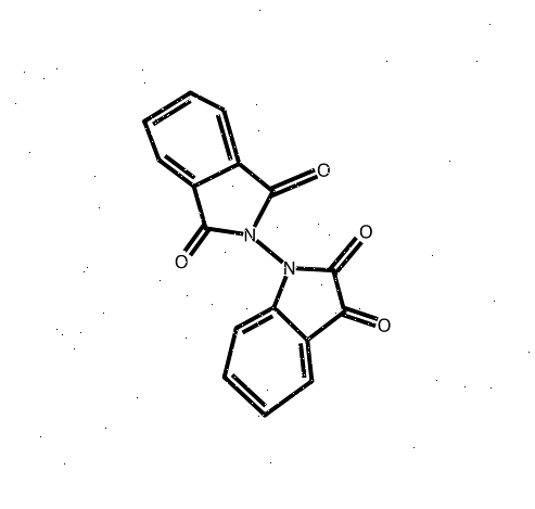 O=C1C(=O)N(N2C(=O)c3ccccc3C2=O)c2ccccc21